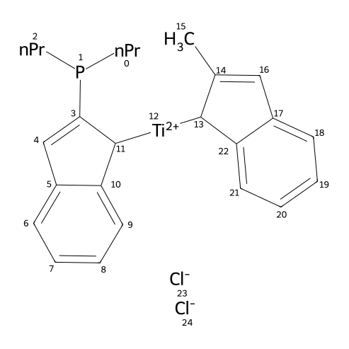 CCCP(CCC)C1=Cc2ccccc2[CH]1[Ti+2][CH]1C(C)=Cc2ccccc21.[Cl-].[Cl-]